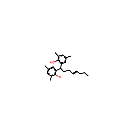 CCC/C=C/CCC(c1cc(C)cc(C)c1O)c1cc(C)cc(C)c1O